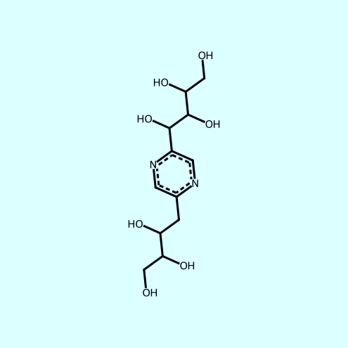 OCC(O)C(O)Cc1cnc(C(O)C(O)C(O)CO)cn1